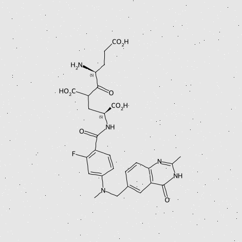 Cc1nc2ccc(CN(C)c3ccc(C(=O)N[C@@H](CC(C(=O)O)C(=O)[C@@H](N)CCC(=O)O)C(=O)O)c(F)c3)cc2c(=O)[nH]1